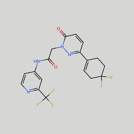 O=C(Cn1nc(C2=CCC(F)(F)CC2)ccc1=O)Nc1ccnc(C(F)(F)F)c1